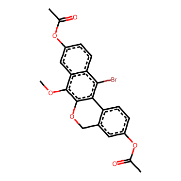 COc1c2c(c(Br)c3ccc(OC(C)=O)cc13)-c1ccc(OC(C)=O)cc1CO2